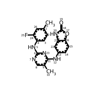 Cc1ccc(Nc2ncc(C)c(Nc3ccc4oc(=O)[nH]c4c3)n2)c(F)c1